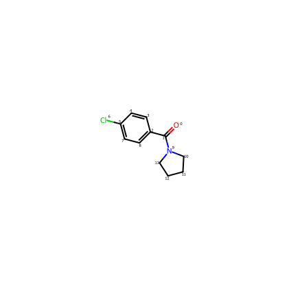 O=C(c1ccc(Cl)cc1)N1CCCC1